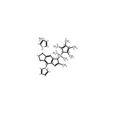 CC1=Cc2c(cc3c(c2-[c-]2cccc2)CCC3)C1[Si](C)(C)C1C(C)=C(C)C(C)=C1C.[Fe+2].c1cc[cH-]c1